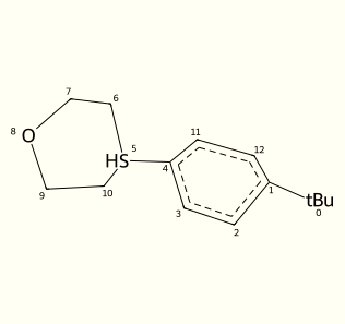 CC(C)(C)c1ccc([SH]2CCOCC2)cc1